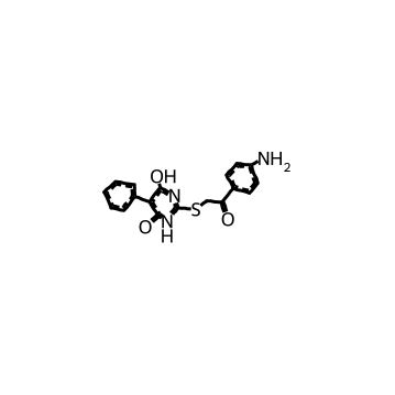 Nc1ccc(C(=O)CSc2nc(O)c(-c3ccccc3)c(=O)[nH]2)cc1